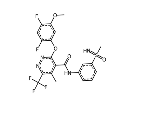 COc1cc(Oc2nnc(C(F)(F)F)c(C)c2C(=O)Nc2cccc(S(C)(=N)=O)c2)c(F)cc1F